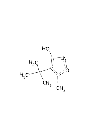 Cc1onc(O)c1C(C)(C)C